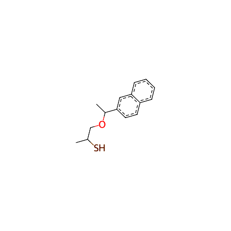 CC(S)COC(C)c1ccc2ccccc2c1